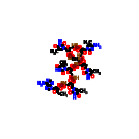 CC[C@H]1O[C@@H](n2cnc3c(N)ncnc32)C[C@H]1OP(=O)(S)OC[C@H]1O[C@@H](n2cc(C)c(=O)[nH]c2=O)C[C@H]1OP(=O)(S)OC[C@H]1O[C@@H](n2cc(C)c(=O)[nH]c2=O)C[C@H]1OP(=O)(S)OC[C@H]1O[C@@H](n2cc(C)c(=O)[nH]c2=O)C[C@H]1OP(=O)(S)OC[C@H]1O[C@@H](n2cc(C)c(N)nc2=O)C[C@H]1OP(=O)(S)OC[C@H]1O[C@@H](n2cc(C)c(=O)[nH]c2=O)C[C@H]1OP(=O)(S)OC